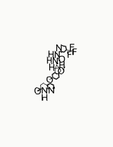 O=C1CCc2c(Oc3ccc4c(c3)[C@@H]3[C@@H](NC(=O)Nc5cc(C(F)(F)F)ccn5)[C@@H]3O4)ccnc2N1